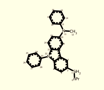 CCC[SiH2]c1ccc2c(c1)c1cc(N(C)c3ccccc3)ccc1n2-c1ccccc1